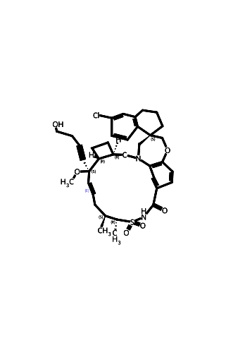 CO[C@]1(C#CCCO)/C=C/C[C@H](C)[C@@H](C)S(=O)(=O)NC(=O)c2ccc3c(c2)N(C[C@@H]2CC[C@H]21)C[C@@]1(CCCc2cc(Cl)ccc21)CO3